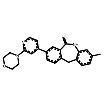 Cc1ccc2c(c1)NC(=O)c1cc(-c3ccnc(N4CCOCC4)c3)ccc1C2